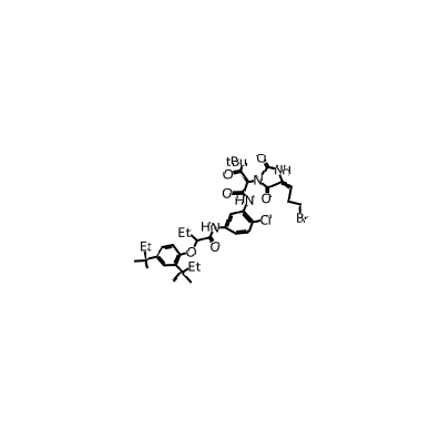 CCC(Oc1ccc(C(C)(C)CC)cc1C(C)(C)CC)C(=O)Nc1ccc(Cl)c(NC(=O)C(C(=O)C(C)(C)C)N2C(=O)NC(=CCCBr)C2=O)c1